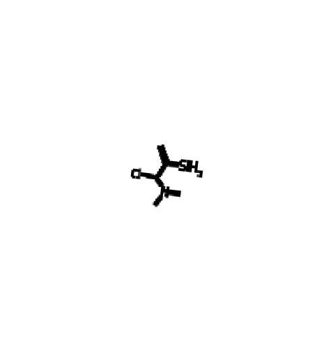 C=C([SiH3])C(Cl)N(C)C